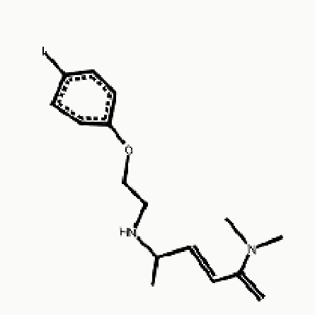 C=C(/C=C/C(C)NCCOc1ccc(I)cc1)N(C)C